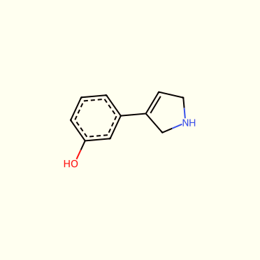 Oc1cccc(C2=CCNC2)c1